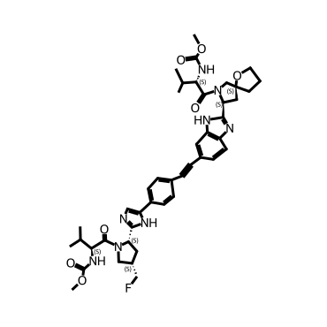 COC(=O)N[C@H](C(=O)N1C[C@@H](CF)C[C@H]1c1ncc(-c2ccc(C#Cc3ccc4nc([C@@H]5C[C@@]6(CCCO6)CN5C(=O)[C@@H](NC(=O)OC)C(C)C)[nH]c4c3)cc2)[nH]1)C(C)C